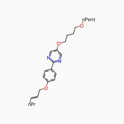 CCC/C=C/COc1ccc(-c2ncc(OCCCCOCCCCC)cn2)cc1